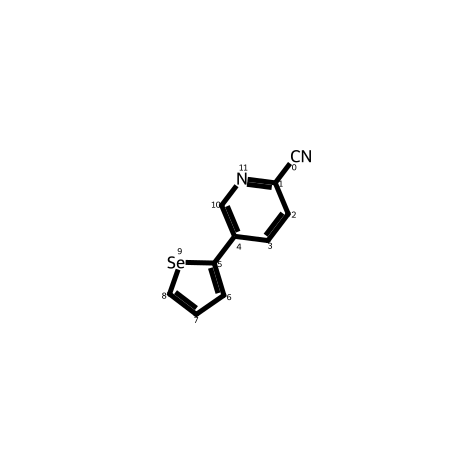 N#Cc1ccc(-c2ccc[se]2)cn1